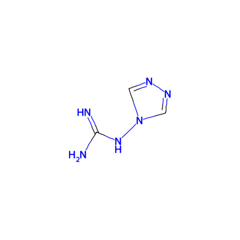 N=C(N)Nn1cnnc1